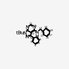 CC(C)(C)n1nc(-c2ccccc2)c2c(NCc3ccccc3)ncnc21